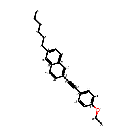 CCCCCCc1ccc2cc(C#Cc3ccc(OCC)cc3)ccc2c1